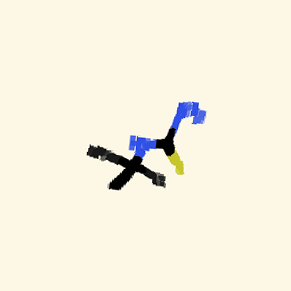 CCCC(C)(CC)NC(N)=S